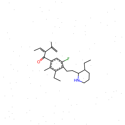 C=C(C)/C(=C/C)C(=O)c1cc(F)c(CCC2NCCCC2CC)c(CC)c1C